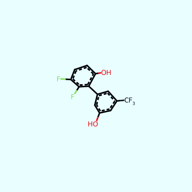 Oc1cc(-c2c(O)ccc(F)c2F)cc(C(F)(F)F)c1